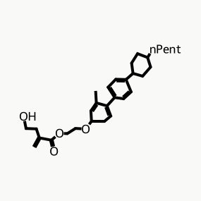 C=C(CCO)C(=O)OCCOC1C=C(C)C(c2ccc(C3CCC(CCCCC)CC3)cc2)=CC1